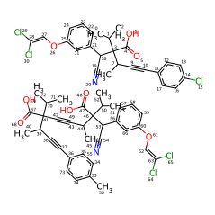 CC(C)C(C(=O)O)(C(C)C#Cc1ccc(Cl)cc1)C(C#N)c1cccc(OC=C(Cl)Cl)c1.Cc1ccc(C#CC(C)C(C#CC(C)C(C(=O)O)(C(C)C)C(C#N)c2cccc(OC=C(Cl)Cl)c2)(C(=O)O)C(C)C)cc1